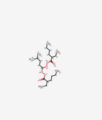 CCCCC(CC)C(=O)OOC(CCC(C)C)OOC(=O)C(CC)CCCC